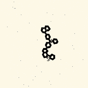 c1ccc(N(c2ccc(-c3ccc4ccc5sc6ccccc6c5c4c3)cc2)c2ccc(-c3cccc4ccccc34)cc2)cc1